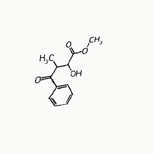 COC(=O)C(O)C(C)C(=O)c1ccccc1